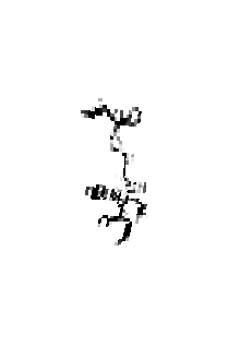 C=CC(=O)OCC.C=CC(=O)OCCCC.C=CC(=O)OCCO